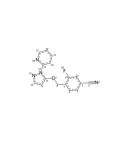 N#Cc1ccc(COc2ccnn2-c2ccccn2)c(F)c1